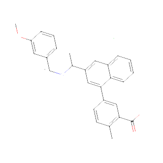 COc1cccc([C@@H](C)NC(C)c2cc(-c3ccc(C)c(C(=O)O)c3)c3ccccc3c2)c1.Cl